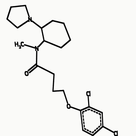 CN(C(=O)CCCOc1ccc(Cl)cc1Cl)C1CCCCC1N1CCCC1